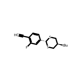 C#Cc1ccc([C@H]2SC[C@H](C(C)(C)C)CS2)cc1F